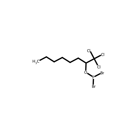 CCCCCCC(OP(Br)Br)C(Cl)(Cl)Cl